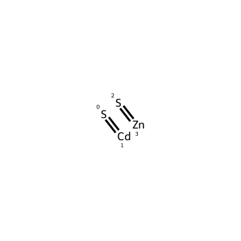 [S]=[Cd].[S]=[Zn]